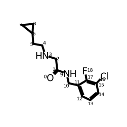 O=C(CNCCC1CC1)NCc1cccc(Cl)c1F